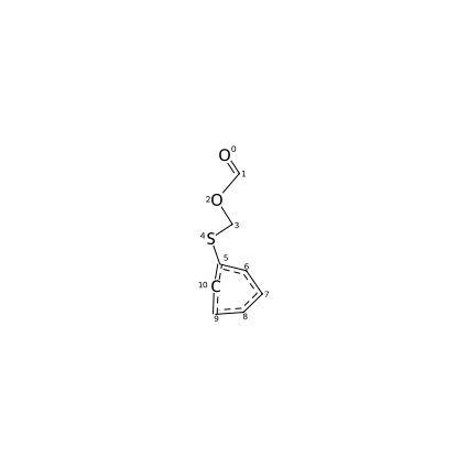 O=COCSc1ccccc1